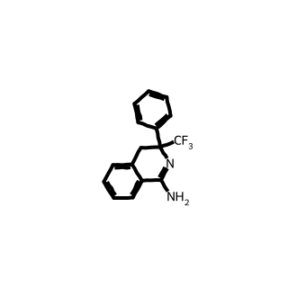 NC1=NC(c2ccccc2)(C(F)(F)F)Cc2ccccc21